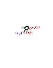 NC[C@H]1OB(O)c2c(OCCO)ccc(F)c21